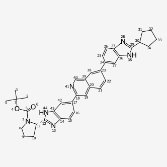 CC(C)(C)OC(=O)N1CCC[C@H]1c1nc2ccc(-c3cc4ccc(-c5ccc6nc(C7CCCC7)[nH]c6c5)cc4cn3)cc2[nH]1